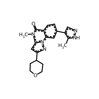 Cc1[nH]ncc1-c1ccc2c(=O)n(C)c3cc(C4CCOCC4)nn3c2c1